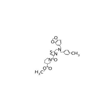 CCOC(=O)C1CCCN(C(=O)c2csc(CN(Cc3ccc(C)cc3)Cc3ccc4c(c3)OCO4)n2)C1